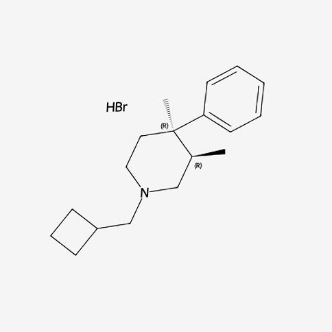 Br.C[C@H]1CN(CC2CCC2)CC[C@@]1(C)c1ccccc1